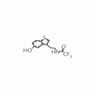 O=C(NCCc1csc2ccc(O)cc12)C(F)(F)F